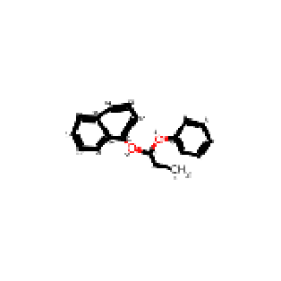 CC[C](Oc1ccccc1)Oc1cccc2ccccc12